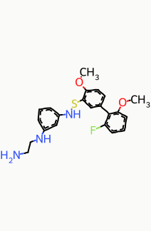 COc1ccc(-c2c(F)cccc2OC)cc1SNc1cccc(NCCN)c1